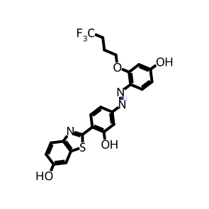 Oc1ccc(/N=N/c2ccc(-c3nc4ccc(O)cc4s3)c(O)c2)c(OCCCC(F)(F)F)c1